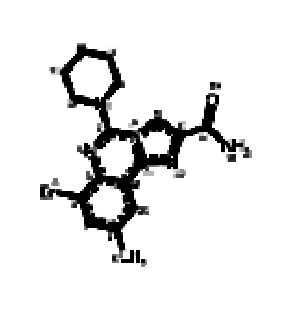 Cc1cc(Br)c2nc(N3CCCCC3)n3cc(C(N)=O)nc3c2c1